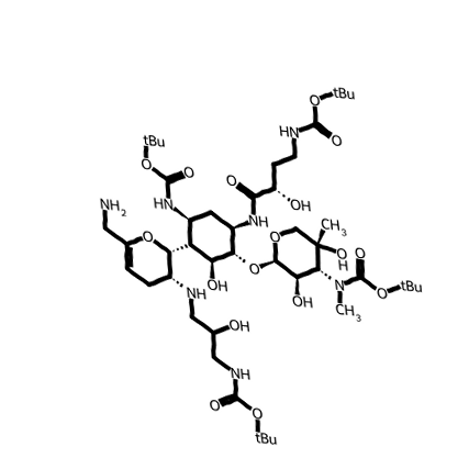 CN(C(=O)OC(C)(C)C)[C@@H]1[C@@H](O)[C@@H](O[C@H]2[C@H](NC(=O)[C@@H](O)CCNC(=O)OC(C)(C)C)C[C@H](NC(=O)OC(C)(C)C)C([C@H]3OC(CN)=CC[C@H]3NCC(O)CNC(=O)OC(C)(C)C)[C@@H]2O)OC[C@]1(C)O